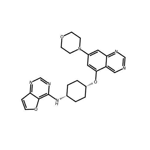 c1ncc2c(O[C@H]3CC[C@@H](Nc4ncnc5ccoc45)CC3)cc(N3CCOCC3)cc2n1